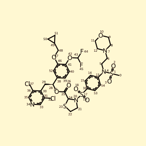 CS(=O)(=O)N(CCN1CCOCC1)c1ccc(S(=O)(=O)N2CCSC2C(=O)O[C@@H](Cc2c(Cl)cncc2Cl)c2ccc(OC(F)F)c(OCC3CC3)c2)cc1